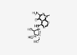 Cn1nc(N)c(=O)c2c(N[C@@H]3O[C@H](CO)[C@H](O)C3O)ncnc21